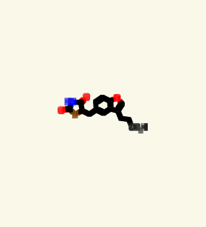 O=C(O)CCc1coc2ccc(CC3SC(=O)NC3=O)cc12